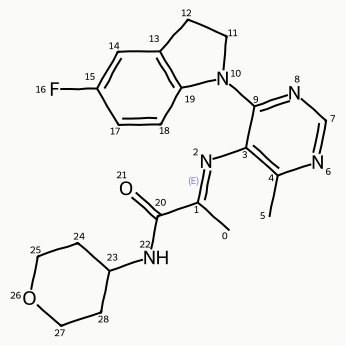 C/C(=N\c1c(C)ncnc1N1CCc2cc(F)ccc21)C(=O)NC1CCOCC1